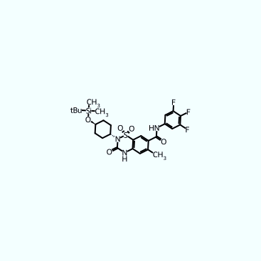 Cc1cc2c(cc1C(=O)Nc1cc(F)c(F)c(F)c1)S(=O)(=O)N([C@H]1CC[C@H](O[Si](C)(C)C(C)(C)C)CC1)C(=O)N2